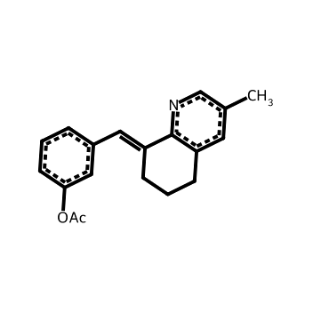 CC(=O)Oc1cccc(C=C2CCCc3cc(C)cnc32)c1